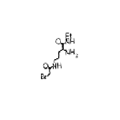 CCNC(=O)C(N)CCCNC(=O)CBr